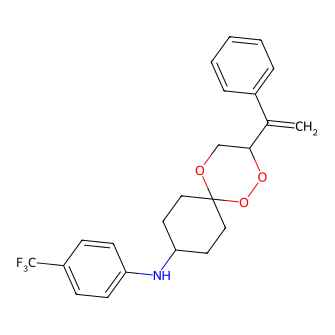 C=C(c1ccccc1)C1COC2(CCC(Nc3ccc(C(F)(F)F)cc3)CC2)OO1